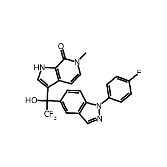 Cn1ccc2c(C(O)(c3ccc4c(cnn4-c4ccc(F)cc4)c3)C(F)(F)F)c[nH]c2c1=O